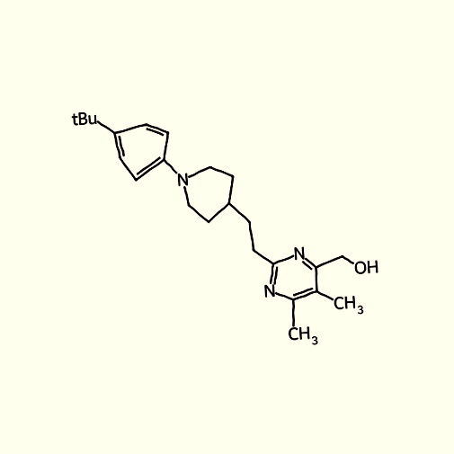 Cc1nc(CCC2CCN(c3ccc(C(C)(C)C)cc3)CC2)nc(CO)c1C